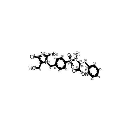 CCCCc1nc(Cl)c(CO)n1Cc1ccc(S(=O)(=O)N(CC)[C@H](Cc2ccccc2)C(=O)OC)cc1